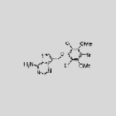 COc1c(Cl)c(OCc2csc3c(N)ncnc23)c(Cl)c(OC)c1Br